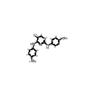 CC(C)(C)c1ccc(Nc2ncc(F)c(Nc3ccc(C(C)(C)C)cc3)n2)cc1